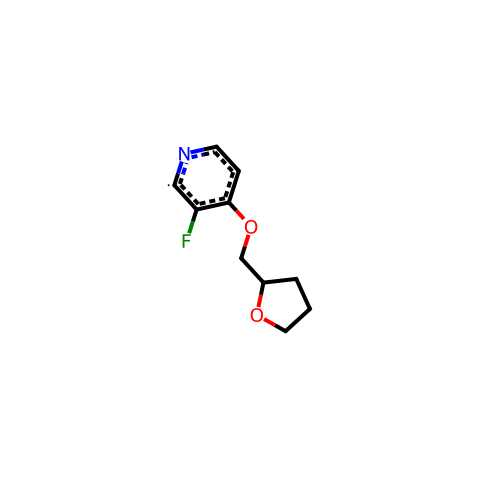 Fc1[c]nccc1OCC1CCCO1